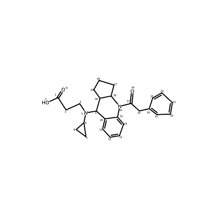 O=C(O)CCN(C1CC1)C1c2ccccc2N(C(=O)Cc2ccccc2)C2CCCC21